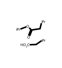 CC(C)CC(=O)O.CC(C)CC(=O)OC(C)C